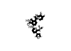 Cc1ccn2c(-c3ccc(Nc4ccc([C@H]5CCOC5)c(CN(C)C)n4)c4c3CNC4=O)cnc2c1F